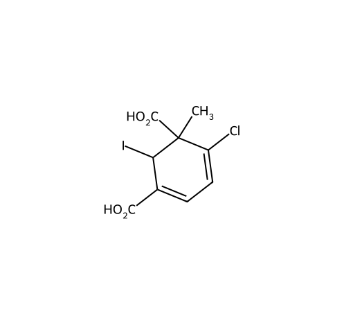 CC1(C(=O)O)C(Cl)=CC=C(C(=O)O)C1I